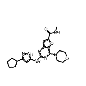 CNC(=O)c1cc2nc(Nc3cc(C4CCCC4)n[nH]3)nc(N3CCOCC3)c2o1